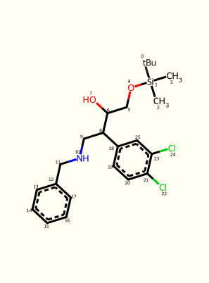 CC(C)(C)[Si](C)(C)OCC(O)C(CNCc1ccccc1)c1ccc(Cl)c(Cl)c1